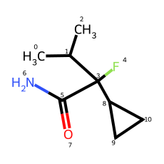 CC(C)C(F)(C(N)=O)C1CC1